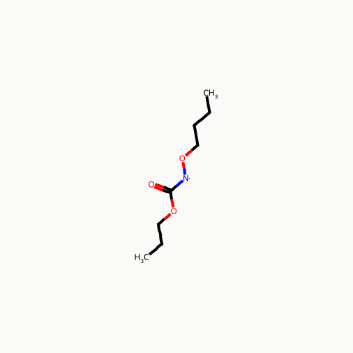 CCCCO[N]C(=O)OCCC